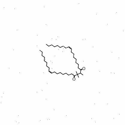 CCCCCCCC/C=C\CCCCCCCC(=O)C(C)C(C)(C)C(=O)CCCCCCC/C=C\CCCCCCCC